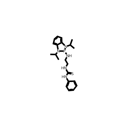 CC(C)N1c2ccccc2N(C(C)C)P1NCCNC(=S)Nc1ccccc1